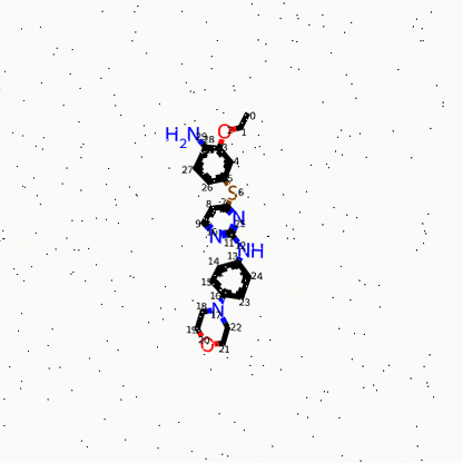 CCOc1cc(Sc2ccnc(Nc3ccc(N4CCOCC4)cc3)n2)ccc1N